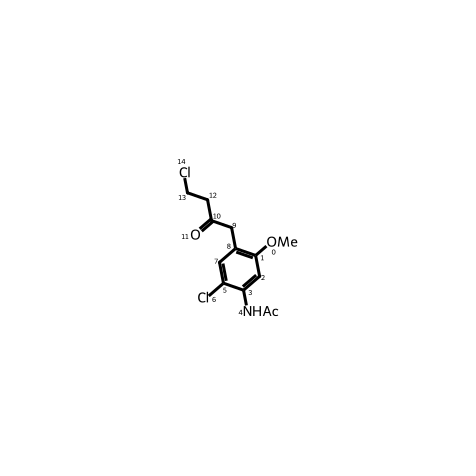 COc1cc(NC(C)=O)c(Cl)cc1CC(=O)CCCl